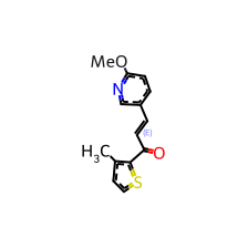 COc1ccc(/C=C/C(=O)c2sccc2C)cn1